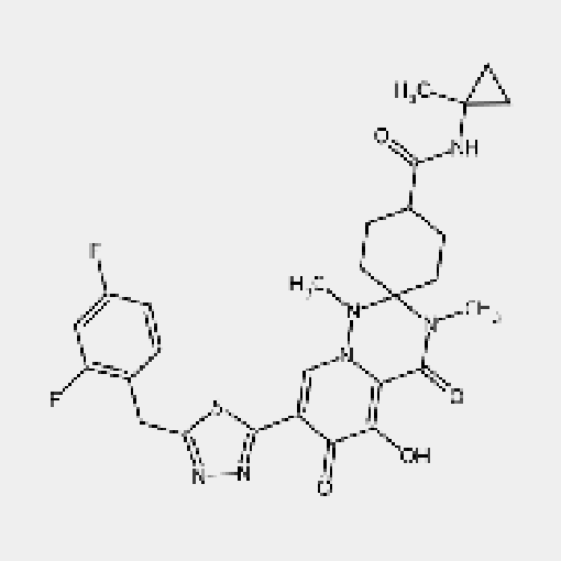 CN1C(=O)c2c(O)c(=O)c(-c3nnc(Cc4ccc(F)cc4F)s3)cn2N(C)C12CCC(C(=O)NC1(C)CC1)CC2